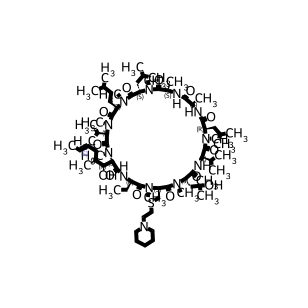 C/C=C/C[C@@H](C)[C@@H](O)[C@H]1C(=O)N[C@H](CC)C(=O)N(C)[C@H](CSCCN2CCCCC2)C(=O)N(C)[C@@H](CC(C)(C)O)C(=O)N[C@H](C(C)C)C(=O)N(C)[C@H](CC(C)C)C(=O)N[C@H](C)C(=O)N[C@@H](C)C(=O)N(C)[C@@H](CC(C)C)C(=O)N(C)[C@H](CCC(C)C)C(=O)N(C)[C@H](C(C)C)C(=O)N1C